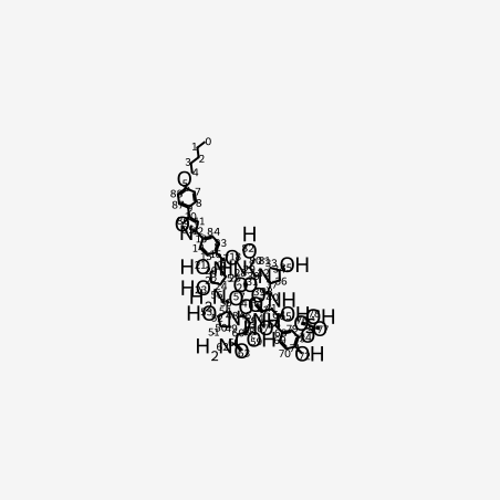 CCCCCOc1ccc(-c2cc(-c3ccc(C(=O)N4C(O)[C@H](O)C[C@H]4C(=O)N[C@H](C(=O)N4C[C@H](O)C[C@H]4C(=O)N[C@H](C(=O)N[C@H](C(=O)N4C[C@H](C)[C@H](O)[C@H]4C(N)=O)[C@H](O)CC(N)=O)[C@H](O)[C@@H](O)c4ccc(O)c(OS(=O)(=O)O)c4)[C@@H](C)O)cc3)no2)cc1